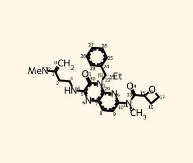 C=C(CCNc1nc2ccc(N(C)C(=O)C3CCO3)nc2n([C@@H](CC)c2ccccc2)c1=O)NC